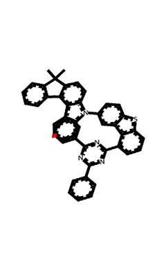 CC1(C)c2ccccc2-c2c1ccc1c2c2ccccc2n1-c1ccc2sc3cccc(-c4nc(-c5ccccc5)nc(-c5ccccc5)n4)c3c2c1